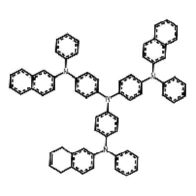 C1=CCc2cc(N(c3ccccc3)c3ccc(N(c4ccc(N(c5ccccc5)c5ccc6ccccc6c5)cc4)c4ccc(N(c5ccccc5)c5ccc6ccccc6c5)cc4)cc3)ccc2C1